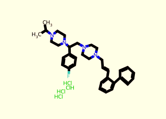 CC(C)N1CCN(C(CN2CCN(CC=Cc3ccccc3-c3ccccc3)CC2)c2ccc(F)cc2)CC1.Cl.Cl.Cl.Cl